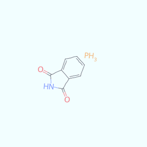 O=C1NC(=O)c2ccccc21.P